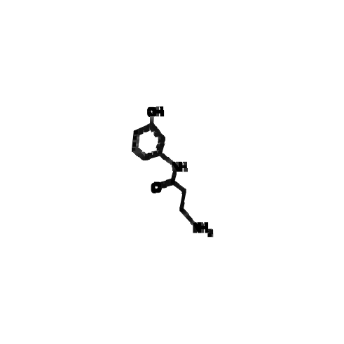 NCCC(=O)Nc1cccc(O)c1